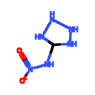 O=[N+]([O-])NC1NNNN1